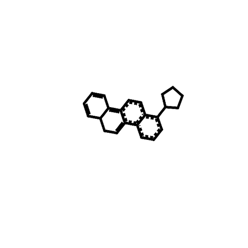 C1=CC2=c3ccc4c(C5CCCC5)cccc4c3=CCC2C=C1